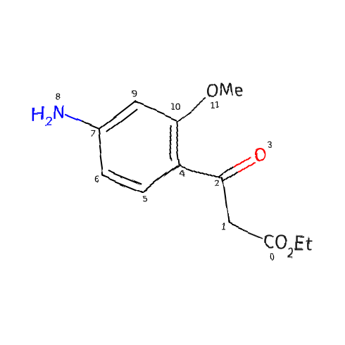 CCOC(=O)CC(=O)c1ccc(N)cc1OC